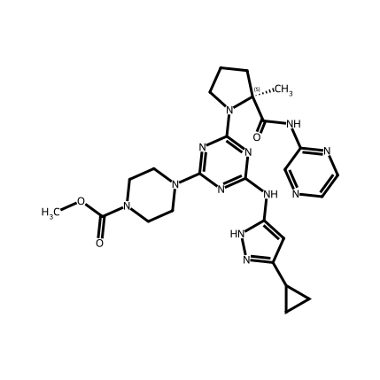 COC(=O)N1CCN(c2nc(Nc3cc(C4CC4)n[nH]3)nc(N3CCC[C@@]3(C)C(=O)Nc3cnccn3)n2)CC1